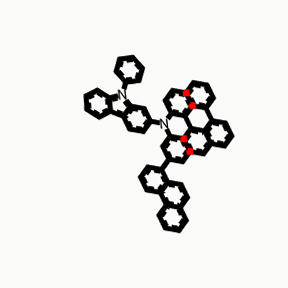 c1ccc(-c2cccc3cccc(-c4ccccc4N(c4cccc(-c5cccc6c5ccc5ccccc56)c4)c4ccc5c6ccccc6n(-c6ccccc6)c5c4)c23)cc1